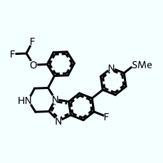 CSc1ccc(-c2cc3c(cc2F)nc2n3C(c3ccccc3OC(F)F)CNC2)cn1